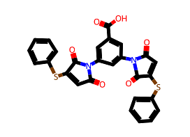 O=C(O)c1cc(N2C(=O)C=C(Sc3ccccc3)C2=O)cc(N2C(=O)C=C(Sc3ccccc3)C2=O)c1